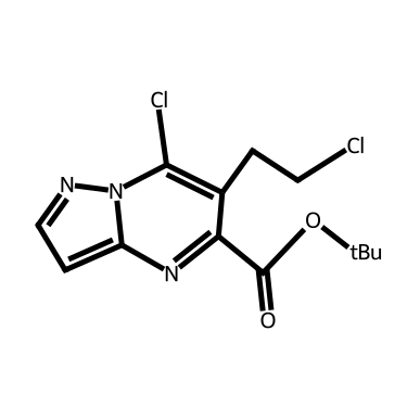 CC(C)(C)OC(=O)c1nc2ccnn2c(Cl)c1CCCl